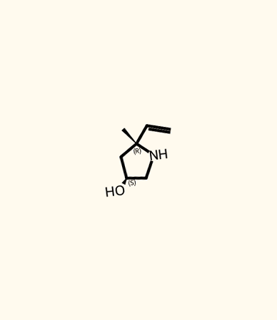 C=C[C@@]1(C)C[C@H](O)CN1